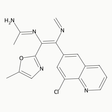 C=N/C(=C(\N=C(/C)N)c1ncc(C)o1)c1cc(Cl)c2ncccc2c1